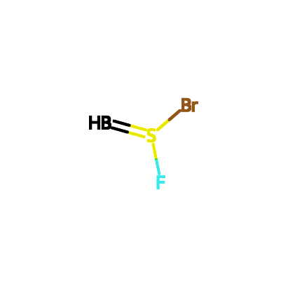 B=S(F)Br